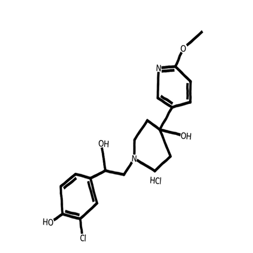 COc1ccc(C2(O)CCN(CC(O)c3ccc(O)c(Cl)c3)CC2)cn1.Cl